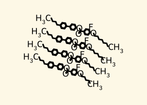 CCCCCCCCOc1ccc(C(=O)Oc2ccc(-c3ccc(CCCCC)cc3)cc2)cc1F.CCCCCCCOc1ccc(C(=O)Oc2ccc(-c3ccc(CCCCC)cc3)cc2)cc1F.CCCCCCOc1ccc(C(=O)Oc2ccc(-c3ccc(CCCCC)cc3)cc2)cc1F.CCCCCOc1ccc(C(=O)Oc2ccc(-c3ccc(CCCCC)cc3)cc2)cc1F